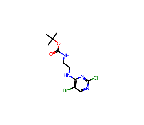 CC(C)(C)OC(=O)NCCNc1nc(Cl)ncc1Br